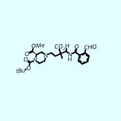 COC(=O)[C@H]1CN(CCC(C)(C)C(NC(=O)c2ccccc2C=O)C(=O)O)CCN1C(=O)OC(C)(C)C